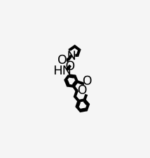 Cc1ccccc1CC1OC(=O)c2cc(NOC(=O)N3CCCC3)ccc21